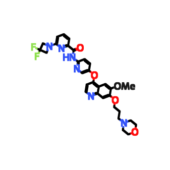 COc1cc2c(Oc3ccc(NC(=O)c4cccc(N5CC(F)(F)C5)n4)nc3)ccnc2cc1OCCCN1CCOCC1